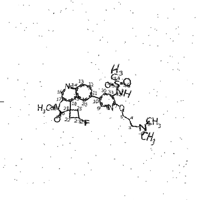 CN(C)CCCOc1ncc(-c2ccc3ncc4c(c3c2)C2(CC(F)C2)C(=O)N4C)cc1NS(C)(=O)=O